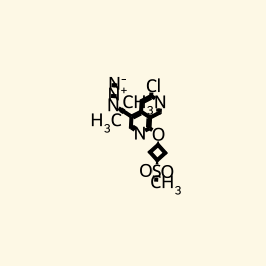 CC(C)(N=[N+]=[N-])c1cnc(O[C@H]2C[C@H](S(C)(=O)=O)C2)c2cnc(Cl)cc12